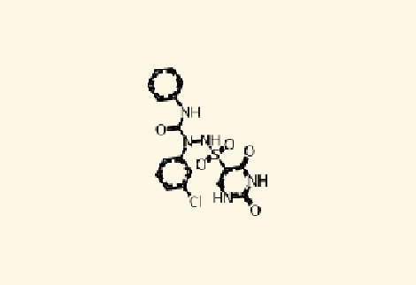 O=C(Nc1ccccc1)N(NS(=O)(=O)c1c[nH]c(=O)[nH]c1=O)c1cccc(Cl)c1